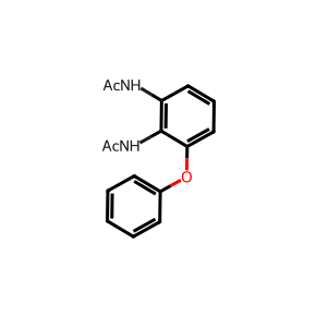 CC(=O)Nc1cccc(Oc2ccccc2)c1NC(C)=O